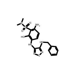 CN(C)S(=O)(=O)c1c(N)ccc(Nc2nsnc2NCc2ccccc2)c1O